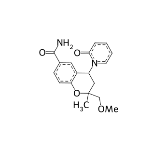 COCC1(C)CC(n2ccccc2=O)c2cc(C(N)=O)ccc2O1